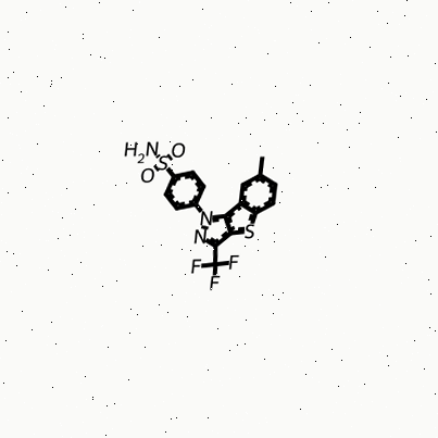 Cc1ccc2sc3c(C(F)(F)F)nn(-c4ccc(S(N)(=O)=O)cc4)c3c2c1